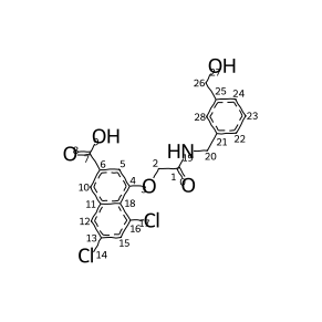 O=C(COc1cc(C(=O)O)cc2cc(Cl)cc(Cl)c12)NCc1cccc(CO)c1